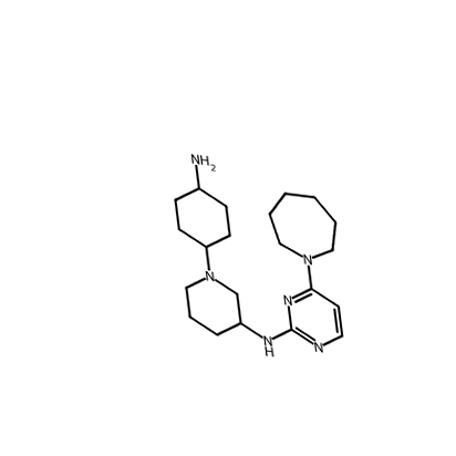 NC1CCC(N2CCCC(Nc3nccc(N4CCCCCC4)n3)C2)CC1